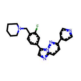 Fc1cc(-c2cnc3ccc(-c4ccncc4)nn23)ccc1CN1CCCCC1